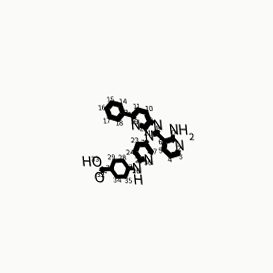 Nc1ncccc1-c1nc2ccc(-c3ccccc3)nc2n1-c1ccc(NC2CCC(C(=O)O)CC2)nc1